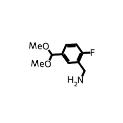 COC(OC)c1ccc(F)c(CN)c1